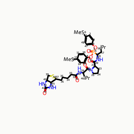 CSc1ccc(OP(=O)(Oc2ccc(SC)cc2)C(CC(C)C)NC(=O)C2CCCN2C(=O)C(NC(=O)CCCCC2SCC3NC(=O)NC32)C(C)C)cc1